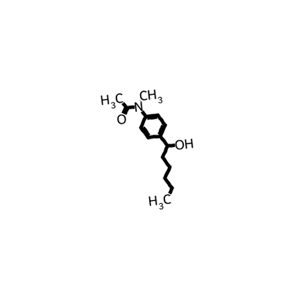 CCCCCC(O)c1ccc(N(C)C(C)=O)cc1